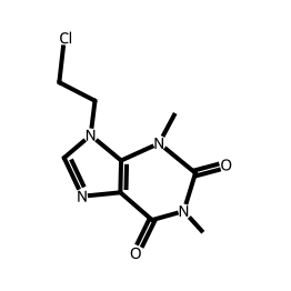 Cn1c(=O)c2ncn(CCCl)c2n(C)c1=O